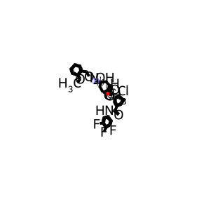 COc1ccccc1CO/N=C/[C@]1(O)CC2C(S(=O)(=O)c3cc(C(=O)Nc4cc(F)c(F)c(F)c4)ccc3Cl)[C@@H](C[C@@H]2C)C1